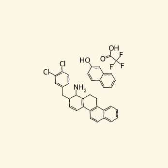 NC1C2=C(C=CC1Cc1ccc(Cl)c(Cl)c1)c1ccc3ccccc3c1CC2.O=C(O)C(F)(F)F.Oc1ccc2ccccc2c1